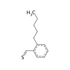 CCCCCc1ccccc1C=S